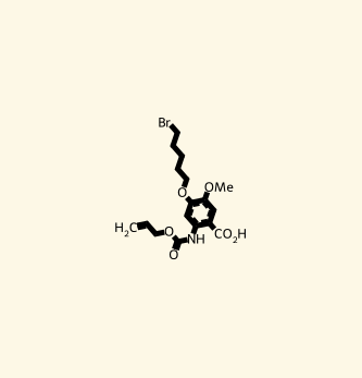 C=CCOC(=O)Nc1cc(OCCCCCBr)c(OC)cc1C(=O)O